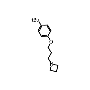 CC(C)(C)c1ccc(OCCCN2CCC2)cc1